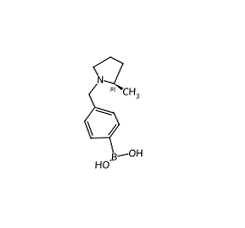 C[C@@H]1CCCN1Cc1ccc(B(O)O)cc1